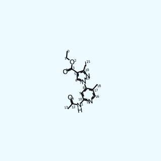 CCOC(=O)c1cn(-c2cc(NC(C)=O)ncc2C)nc1I